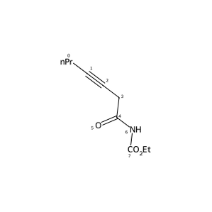 CCCC#CCC(=O)NC(=O)OCC